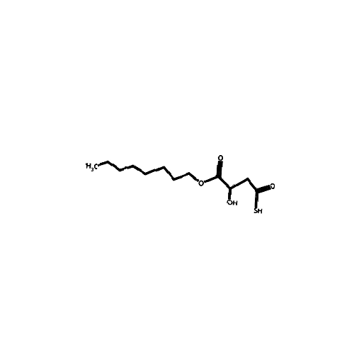 CCCCCCCCOC(=O)C(O)CC(=O)S